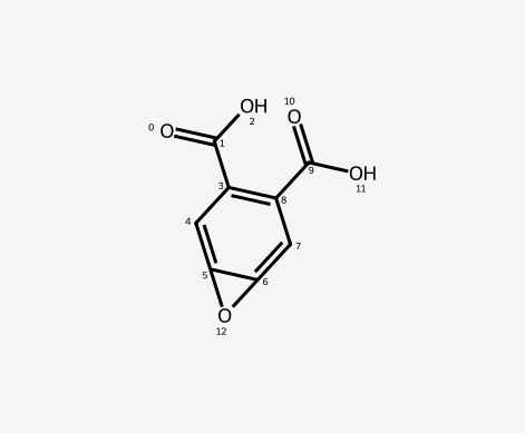 O=C(O)c1cc2c(cc1C(=O)O)O2